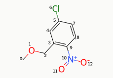 COCc1cc(Cl)c[c]c1[N+](=O)[O-]